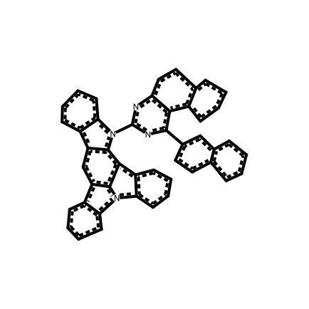 c1ccc2cc(-c3nc(-n4c5ccccc5c5cc6c7ccccc7n7c8ccccc8c(c54)c67)nc4ccc5ccccc5c34)ccc2c1